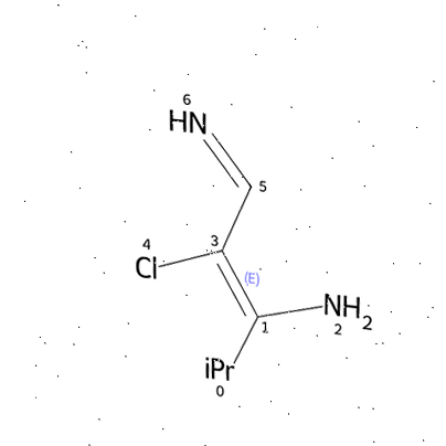 CC(C)/C(N)=C(\Cl)C=N